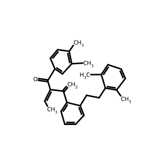 C=C(/C(=C\C)C(=O)c1ccc(C)c(C)c1)c1ccccc1CCc1c(C)cccc1C